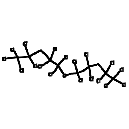 ClC(Cl)(Cl)C(Cl)(Cl)CC(Cl)(Cl)C(Cl)(Cl)OC(Cl)(Cl)C(Cl)(Cl)CC(Cl)(Cl)C(Cl)(Cl)Cl